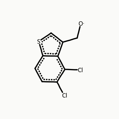 [O]Cc1csc2ccc(Cl)c(Cl)c12